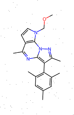 COCn1ccc2c(C)nc3c(-c4c(C)cc(C)cc4C)c(C)nn3c21